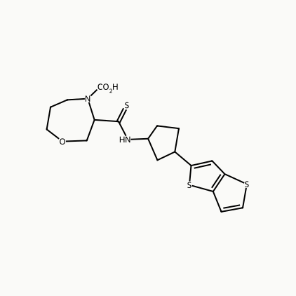 O=C(O)N1CCCOCC1C(=S)NC1CCC(c2cc3sccc3s2)C1